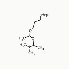 CCCCCCCCCCOC(C)OC(C)N(C)C